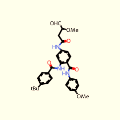 COc1ccc(NC(=O)c2ccc(NC(=O)CC(C=O)OC)cc2NC(=O)c2ccc(C(C)(C)C)cc2)cc1